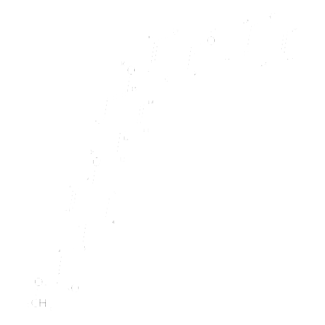 COC(=O)CCc1ccc(OCc2ccc(Oc3ccc(OCc4ccccc4)cc3)cc2)cc1